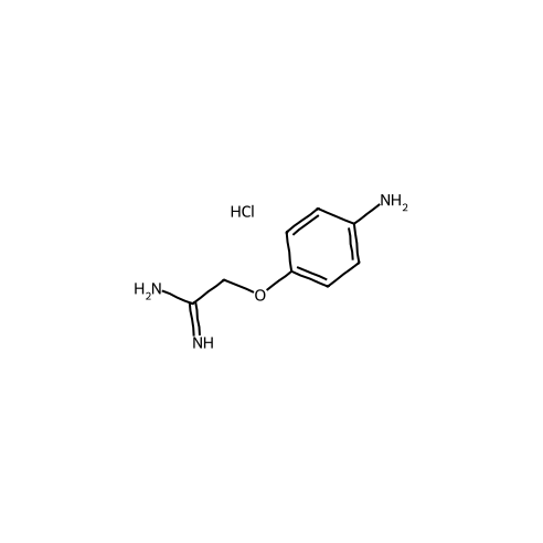 Cl.N=C(N)COc1ccc(N)cc1